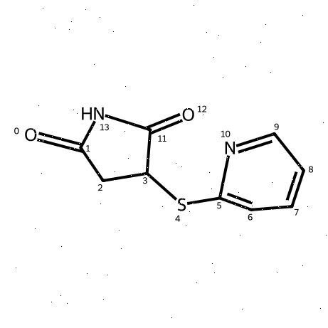 O=C1CC(Sc2ccccn2)C(=O)N1